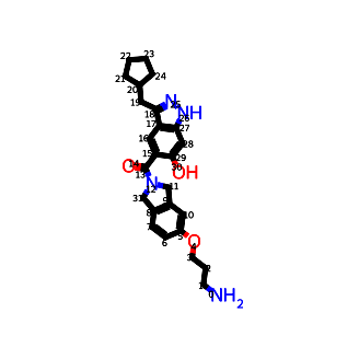 NCCCOc1ccc2c(c1)CN(C(=O)c1cc3c(CC4CCCC4)n[nH]c3cc1O)C2